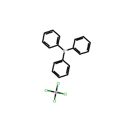 [Cl][Al-]([Cl])([Cl])[Cl].c1ccc([C+](c2ccccc2)c2ccccc2)cc1